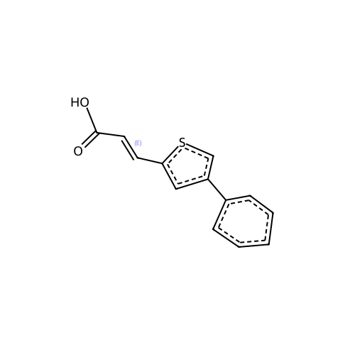 O=C(O)/C=C/c1cc(-c2ccccc2)cs1